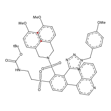 COc1ccc(CN(Cc2ccc(OC)cc2)S(=O)(=O)c2c(S(=O)(=O)CCNC(=O)OC(C)(C)C)ccc(-c3ccnc4ccccc34)c2-c2nnn(Cc3ccc(OC)cc3)n2)cc1